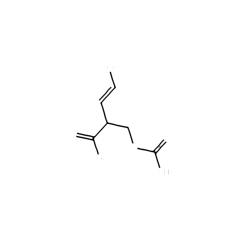 CC=CC(CSC(C)=O)C(=O)O